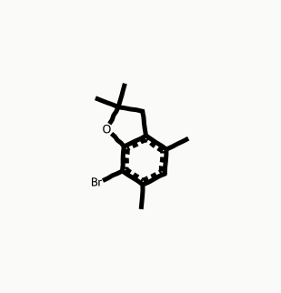 Cc1cc(C)c2c(c1Br)OC(C)(C)C2